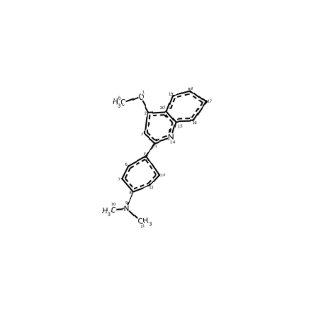 COc1cc(-c2ccc(N(C)C)cc2)nc2ccccc12